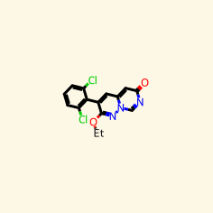 CCOc1nn2cnc(=O)cc2cc1-c1c(Cl)cccc1Cl